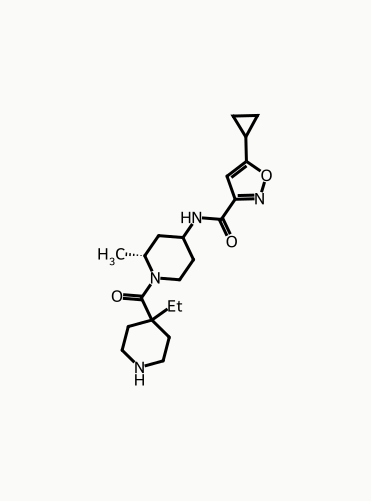 CCC1(C(=O)N2CCC(NC(=O)c3cc(C4CC4)on3)C[C@H]2C)CCNCC1